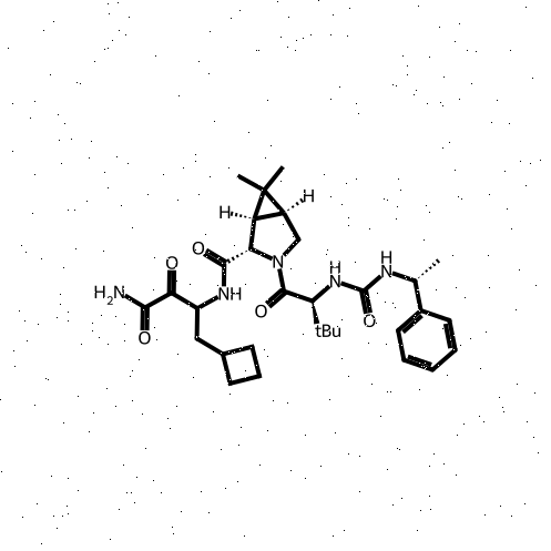 C[C@@H](NC(=O)N[C@H](C(=O)N1C[C@H]2[C@@H]([C@H]1C(=O)NC(CC1CCC1)C(=O)C(N)=O)C2(C)C)C(C)(C)C)c1ccccc1